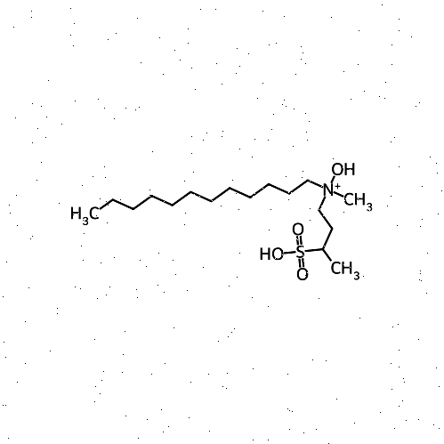 CCCCCCCCCCCC[N+](C)(O)CCC(C)S(=O)(=O)O